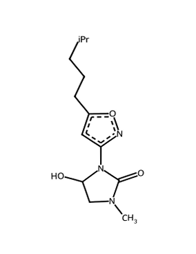 CC(C)CCCc1cc(N2C(=O)N(C)CC2O)no1